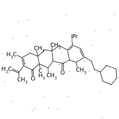 C=C(C)C1=C(C)CC2(C)CC3(C)CC4=C(C(C)C)C=C(CCC5CCCCC5)C(C)C4C(=O)C3C(C)C2(C)C1=O